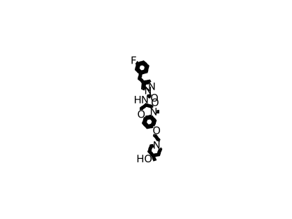 CN1C(=O)[C@@H](NC(=O)n2cc(Cc3cccc(F)c3)cn2)COc2ccc(OCCN3CCC(C)(O)CC3)cc21